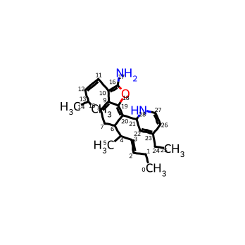 CCC=CC(C)C1CC=c2c(/C=C\C(C)C)c(N)oc2=C1C1C=C(CC)C=CN1